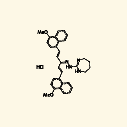 COc1ccc(C=CC(C=Cc2ccc(OC)c3ccccc23)=NNC2=NCCCCN2)c2ccccc12.Cl